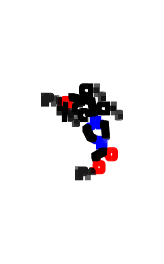 CC(C)OCC(=O)N1CCN(C(C)(C)CC(C)(C)COC(C)C)CC1